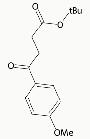 COc1ccc(C(=O)CCC(=O)OC(C)(C)C)cc1